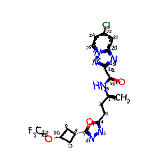 C=C(CCc1nnc([C@H]2C[C@@H](OC(F)(F)F)C2)o1)NC(=O)c1nc2cc(Cl)ccn2n1